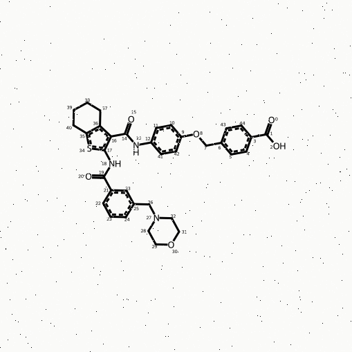 O=C(O)c1ccc(COc2ccc(NC(=O)c3c(NC(=O)c4cccc(CN5CCOCC5)c4)sc4c3CCCC4)cc2)cc1